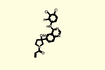 C=CC(=O)N1CCC(OC)(c2ccc3ncnc(Nc4ccc(Cl)c(Cl)c4F)c3c2)C1